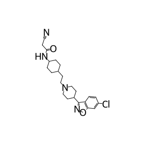 N#CCC(=O)NC1CCC(CCN2CCC(c3noc4cc(Cl)ccc34)CC2)CC1